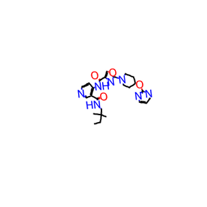 CCC(C)(C)CNC(=O)c1cnccc1NC(=O)c1coc(N2CCC(Oc3ncccn3)CC2)n1